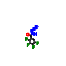 [N-]=[N+]=NNC(=O)c1cc(F)c(F)c(F)c1F